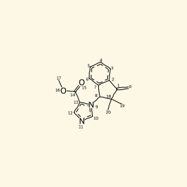 C=C1c2ccccc2C(n2cncc2C(=O)OC)C1(C)C